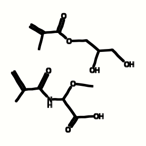 C=C(C)C(=O)NC(OC)C(=O)O.C=C(C)C(=O)OCC(O)CO